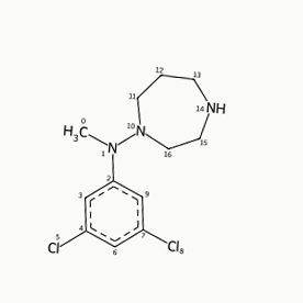 CN(c1cc(Cl)cc(Cl)c1)N1CCCNCC1